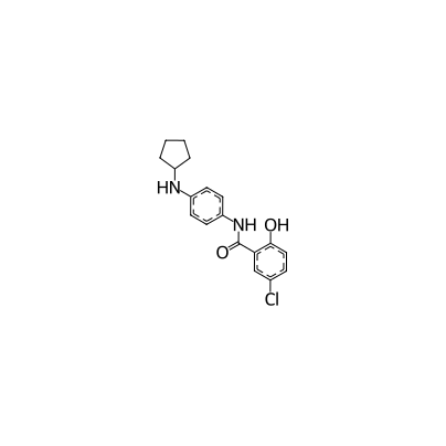 O=C(Nc1ccc(NC2CCCC2)cc1)c1cc(Cl)ccc1O